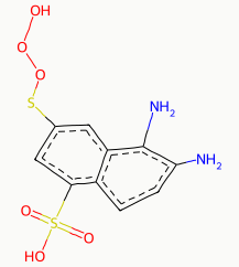 Nc1ccc2c(S(=O)(=O)O)cc(SOOO)cc2c1N